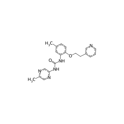 Cc1ccc(OCCc2cccnc2)c(NC(=O)Nc2cnc(C)cn2)c1